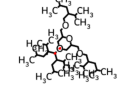 CC(C)CC(COCC(COCC(CC(C)C)C(C)C)OC(COCC(CC(C)C)C(C)C)COCC(CC(C)C)C(C)C)C(C)C